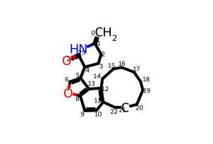 C=C1CCC(c2coc3ccc4c(c23)CCCCCCCCC4)C(=O)N1